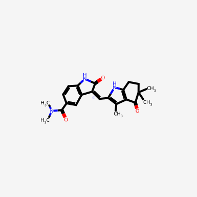 Cc1c(/C=C2\C(=O)Nc3ccc(C(=O)N(C)C)cc32)[nH]c2c1C(=O)C(C)(C)CC2